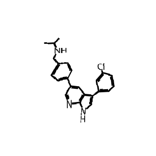 CC(C)NCc1ccc(-c2cnc3[nH]cc(-c4cccc(Cl)c4)c3c2)cc1